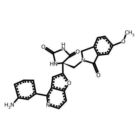 COc1ccc2c(c1)C(=O)N(C[C@@]1(c3cc4c(-c5cccc(N)c5)nccc4o3)NC(=O)NC1=O)C2